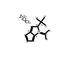 CC(C)=S1C2=CC=CC2=CC1C(C)(C)C.[Cl-].[Cl-].[Zr+2]